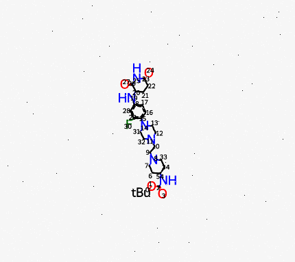 CC(C)(C)OC(=O)NC1CCN(CCN2CCN(c3ccc(NC4CCC(=O)NC4=O)cc3F)CC2)CC1